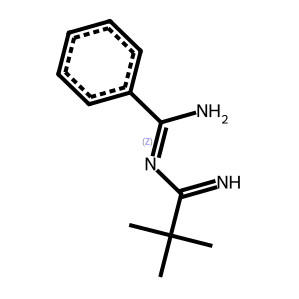 CC(C)(C)C(=N)/N=C(\N)c1ccccc1